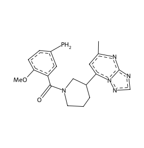 COc1ccc(P)cc1C(=O)N1CCCC(c2cc(C)nc3ncnn23)C1